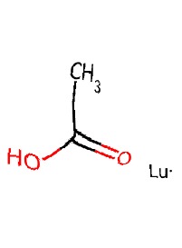 CC(=O)O.[Lu]